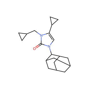 O=c1n(C2C3CC4CC(C3)CC2C4)cc(C2CC2)n1CC1CC1